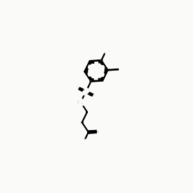 Cc1cc(S(=O)(=O)NCCC(=O)O)ccc1Br